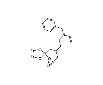 C=CN(CCC(CN)C[Si](OCC)(OCC)OCC)Cc1ccccc1